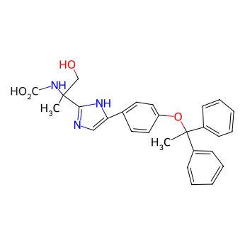 CC(CO)(NC(=O)O)c1ncc(-c2ccc(OC(C)(c3ccccc3)c3ccccc3)cc2)[nH]1